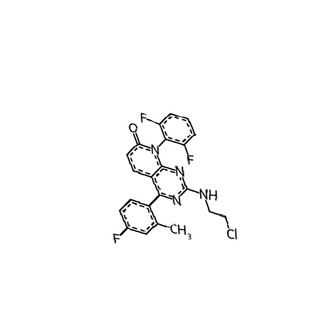 Cc1cc(F)ccc1-c1nc(NCCCl)nc2c1ccc(=O)n2-c1c(F)cccc1F